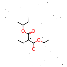 CCOC(=O)C(CC)C(=O)OC(C)CC